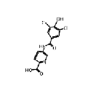 O=C(Nc1ccc(C(=O)O)nc1)c1cc(Cl)c(O)c(Cl)c1